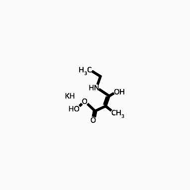 CCNC(O)=C(C)C(=O)OO.[KH]